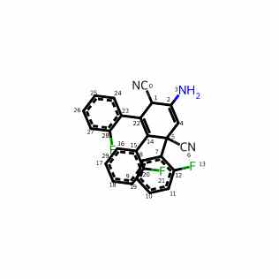 N#CC1C(N)=CC(C#N)(c2ccccc2F)C(c2ccccc2F)=C1c1ccccc1F